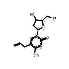 C=CCc1cn([C@H]2CC(O)[C@@H](CO)O2)c(=O)nc1N